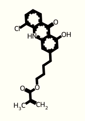 C=C(C)C(=O)OCCCCc1cc(O)c2c(=O)c3cccc(Cl)c3[nH]c2c1